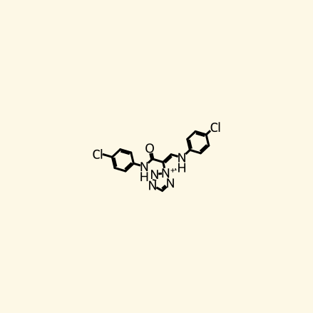 C[N+]1(C(=CNc2ccc(Cl)cc2)C(=O)Nc2ccc(Cl)cc2)N=CN=N1